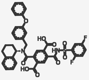 O=C(O)c1cc(C(=O)N(Cc2cccc(Oc3ccccc3)c2)[C@H]2CCCc3ccccc32)c(C(=O)O)cc1C(=O)NS(=O)(=O)c1cc(F)ccc1F